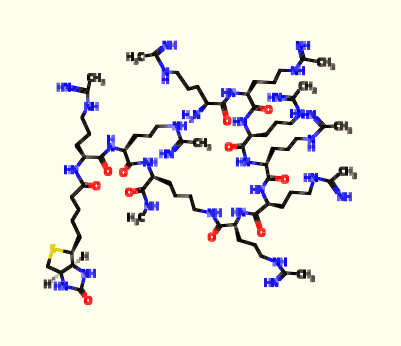 CNC(=O)[C@H](CCCCNC(=O)[C@H](CCCNC(C)=N)NC(=O)[C@H](CCCNC(C)=N)NC(=O)[C@H](CCCNC(C)=N)NC(=O)[C@H](CCCNC(C)=N)NC(=O)[C@H](CCCNC(C)=N)NC(=O)[C@@H](N)CCCNC(C)=N)NC(=O)[C@H](CCCNC(C)=N)NC(=O)[C@H](CCCNC(C)=N)NC(=O)CCCC[C@@H]1SC[C@@H]2NC(=O)N[C@@H]21